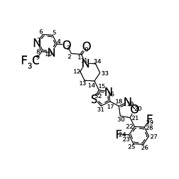 O=C(COc1ccnc(C(F)(F)F)n1)N1CCC(c2nc(C3=NOC(c4c(F)cccc4F)C3)cs2)CC1